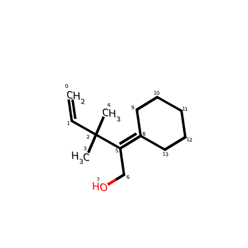 C=CC(C)(C)C(CO)=C1CCCCC1